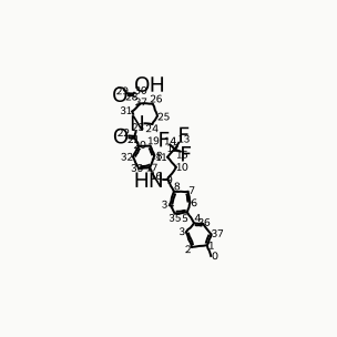 Cc1ccc(-c2ccc(C(CCC(F)(F)F)Nc3ccc(C(=O)N4CCC[C@@H](C(=O)O)C4)cc3)cc2)cc1